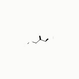 C=CC(=O)[CH]OCC